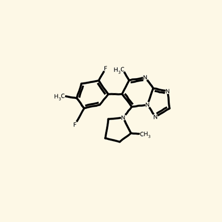 Cc1cc(F)c(-c2c(C)nc3ncnn3c2N2CCCC2C)cc1F